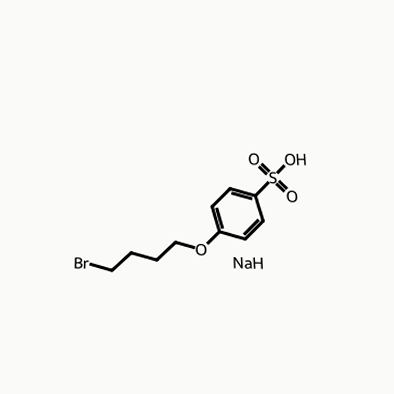 O=S(=O)(O)c1ccc(OCCCCBr)cc1.[NaH]